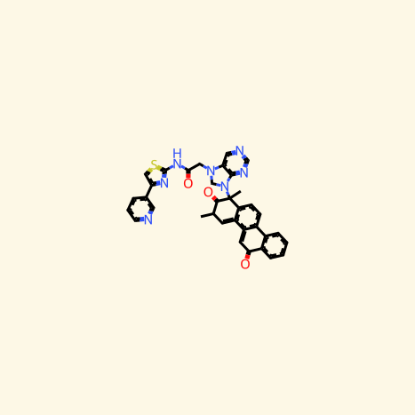 CC1C=c2c(ccc3c2=CC(=O)c2ccccc2-3)C(C)(N2CN(CC(=O)Nc3nc(-c4cccnc4)cs3)c3cncnc32)C1=O